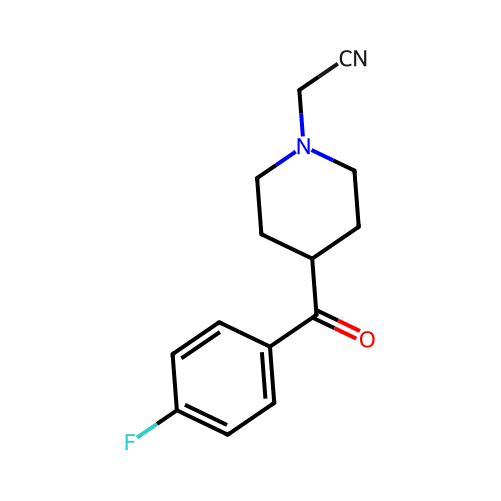 N#CCN1CCC(C(=O)c2ccc(F)cc2)CC1